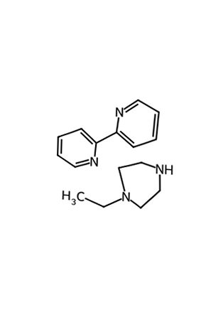 CCN1CCNCC1.c1ccc(-c2ccccn2)nc1